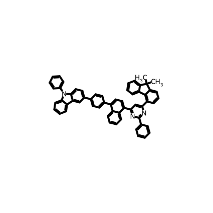 CC1(C)c2ccccc2-c2c(-c3cc(-c4ccc(-c5ccc(-c6ccc7c(c6)c6ccccc6n7-c6ccccc6)cc5)c5ccccc45)nc(-c4ccccc4)n3)cccc21